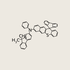 CC1(C)c2ccccc2-c2ccc(N(c3ccccc3)c3ccc4cc5c(cc4c3)Sc3ccccc3C53c4ccccc4-c4ccccc43)cc21